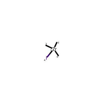 [CH3][Zr]([CH3])([CH3])[I]